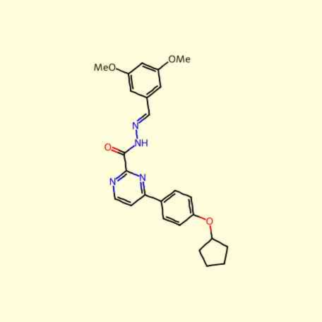 COc1cc(C=NNC(=O)c2nccc(-c3ccc(OC4CCCC4)cc3)n2)cc(OC)c1